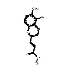 COc1ccc2nc(/C=C/C(=O)NO)ccc2c1Br